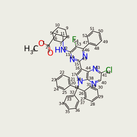 COC(=O)C1C2CCC(CC2)C1Nc1nc(-c2cn(C(c3ccccc3)(c3ccccc3)c3ccccc3)c3ncc(Cl)nc23)nc(-c2ccccc2)c1F